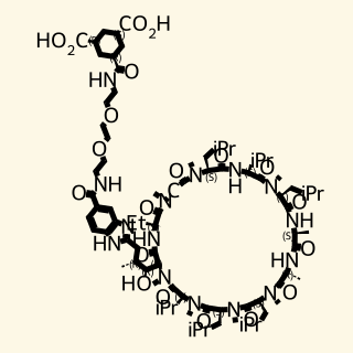 CC[C@@H]1NC(=O)[C@H]([C@H](O)[C@H](C)Cc2nc3cc(C(=O)NCCOCCOCCNC(=O)[C@@H]4C[C@H](C(=O)O)C[C@H](C(=O)O)C4)ccc3[nH]2)N(C)C(=O)[C@H](C(C)C)N(C)C(=O)[C@H](CC(C)C)N(C)C(=O)[C@H](CC(C)C)N(C)C(=O)[C@@H](C)NC(=O)[C@H](C)NC(=O)[C@H](CC(C)C)N(C)C(=O)[C@H](C(C)C)NC(=O)[C@H](CC(C)C)N(C)C(=O)CN(C)C1=O